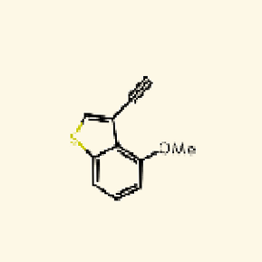 C#Cc1csc2cccc(OC)c12